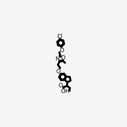 CCC(C(=O)O)C1CCc2cc(OCCc3nc(COc4ccc(Cl)cc4)oc3C)ccc21